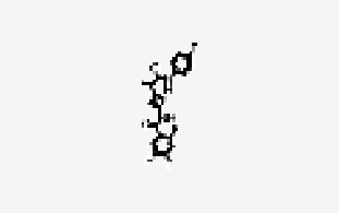 CC(C(=O)Nc1ccc(F)cc1)C12CC(NC(=O)c3cc(F)c(F)cc3F)(C1)C2